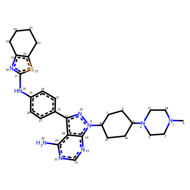 CN1CCN(C2CCC(n3nc(-c4ccc(Nc5nc6c(s5)CCCC6)cc4)c4c(N)ncnc43)CC2)CC1